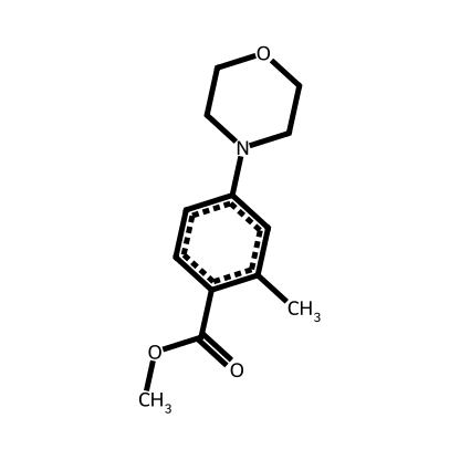 COC(=O)c1ccc(N2CCOCC2)cc1C